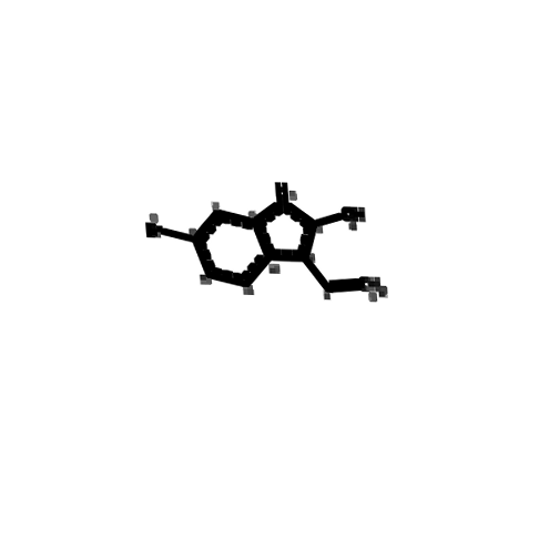 C=Cc1c(O)[nH]c2cc(Br)ccc12